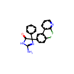 NC1=NC(c2cc[c]cc2)(c2ccc(F)c(-c3cccnc3F)c2)C(=O)N1